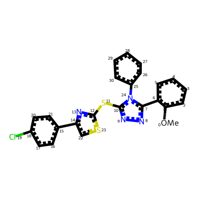 COc1ccccc1-c1nnc(Sc2nc(-c3ccc(Cl)cc3)cs2)n1-c1ccccc1